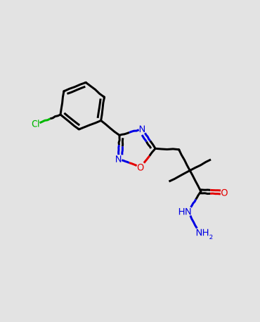 CC(C)(Cc1nc(-c2cccc(Cl)c2)no1)C(=O)NN